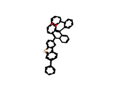 C1=CCC2C(=C1)C(c1ccccc1-c1ccccc1)=c1ccccc1=C2c1ccc2sc3cc(-c4ccccc4)ccc3c2c1